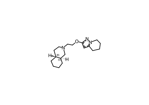 c1c(OCCN2CC[C@H]3CCCC[C@@H]3C2)nn2c1CCCC2